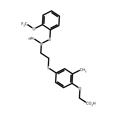 CCCN(CCSc1ccc(OCC(=O)O)c(C)c1)Sc1ccccc1OC(F)(F)F